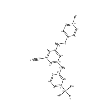 N#Cc1nc(NCc2ccc(F)cc2)nc(Nc2cccc(C(F)(F)F)c2)n1